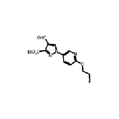 CCOC(=O)c1nn(-c2ccc(OCCF)nc2)cc1C=O